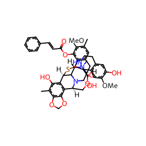 COc1cc2c(cc1O)CCN[C@]21CS[C@@H]2c3c(O)c(C)c4c(c3[C@H](COC1=O)N1C2[C@@H]2c3c(cc(C)c(OC)c3OC(=O)/C=C/c3ccccc3)C[C@@H]([C@@H]1O)N2C)OCO4